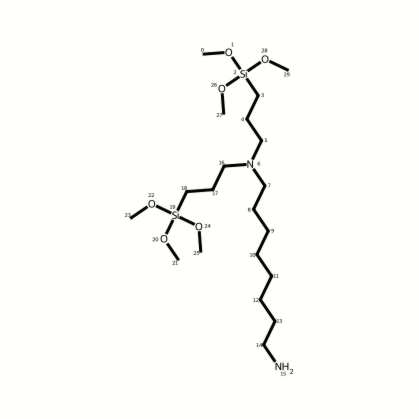 CO[Si](CCCN(CCCCCCCCN)CCC[Si](OC)(OC)OC)(OC)OC